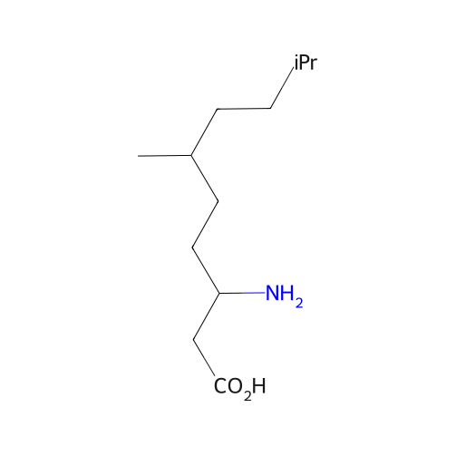 CC(C)CCC(C)CCC(N)CC(=O)O